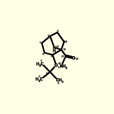 CC(C)(C)OC1CCC2CCC1(C(N)=O)N2